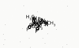 Cc1nsc(-c2nc(Br)c3n2CCN(C2Cn4c(-c5nc(C)ns5)nc(C(=O)Oc5ccc(F)cc5)c4C(C)N2C(=O)c2ccc(F)cc2)C3C)n1